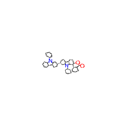 O=c1oc2ccc3c4ccc(-c5ccc6c7ccccc7n(-c7ccccc7)c6c5)cc4n(-c4ccccc4)c3c2c2ccccc12